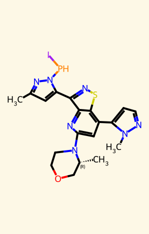 Cc1cc(-c2nsc3c(-c4ccnn4C)cc(N4CCOC[C@H]4C)nc23)n(PI)n1